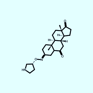 C[C@]12CC/C(=N\O[C@@H]3CCNC3)CC1C(=O)C[C@@H]1[C@@H]2CC[C@]2(C)C(=O)CC[C@@H]12